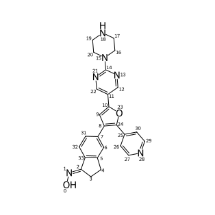 ON=C1CCc2cc(-c3cc(-c4cnc(N5CCNCC5)nc4)oc3-c3ccncc3)ccc21